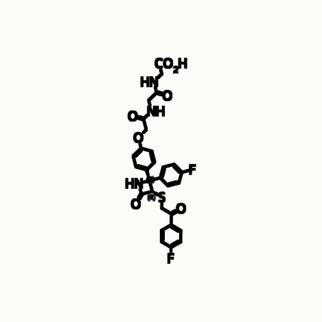 O=C(O)CNC(=O)CNC(=O)COc1ccc([C@]2(c3ccc(F)cc3)NC(=O)[C@@H]2SCC(=O)c2ccc(F)cc2)cc1